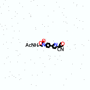 CC(=O)NC[C@H]1CN(c2ccc(-c3ccc(C4(C#N)C5COCC54)nc3)cc2)C(=O)O1